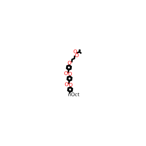 C=C(C)C(=O)OCCCCOc1ccc(C(=O)Oc2ccc(C(=O)Oc3ccc(CCCCCCCC)cc3)cc2)cc1